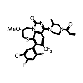 C=CC(=O)N1CCN(c2nc(=O)n3c4c(c(-c5cc(Cl)c(F)cc5F)c(C(F)(F)F)cc24)SC[C@H](OC)C3)C(C)C1